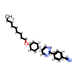 CCCCCCCCCO[C@H]1CC[C@H](c2cnc(-c3ccc(C#N)cc3)nc2)CC1